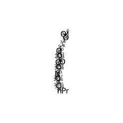 C=CC(=O)OCCCCCCOc1ccc(C(=O)Oc2ccc(/C=N/c3ccc(C4CCC(CCC)CC4)cc3)cc2)cc1